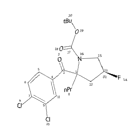 CCCC1(C(=O)c2ccc(Cl)c(Cl)c2)C[C@H](F)CN1C(=O)OC(C)(C)C